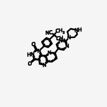 CC(C)(C#N)c1ccc(-n2c(=O)[nH]c(=O)c3cnc4ccc(-c5cnc(N6CCNCC6)nc5)nc4c32)cc1